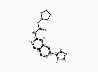 O=C(CN1CCCC1)Nc1ncc2ccc(-c3cnco3)cc2n1